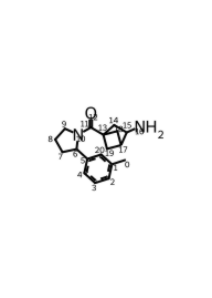 Cc1cccc(C2CCCN2C(=O)C23CC(N)C(C2)C3)c1